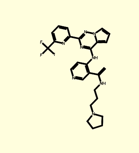 C=C(NCCCN1CCCC1)c1cnccc1Nc1nc(-c2cccc(C(F)(F)I)n2)nn2cccc12